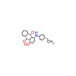 C=Cc1ccc(Nc2ccc(O)c3c2C(=O)c2ccccc2C3=O)cc1